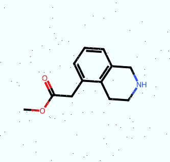 COC(=O)Cc1cccc2c1CCNC2